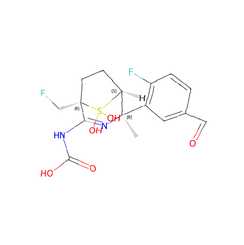 C[C@]1(c2cc(C=O)ccc2F)N=C(NC(=O)O)[C@@]2(CF)CC[C@@H]1S2(O)O